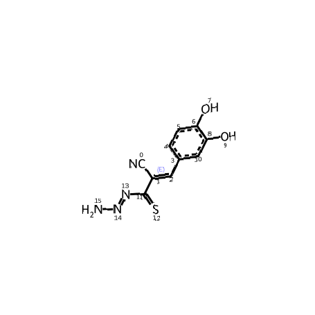 N#C/C(=C\c1ccc(O)c(O)c1)C(=S)N=NN